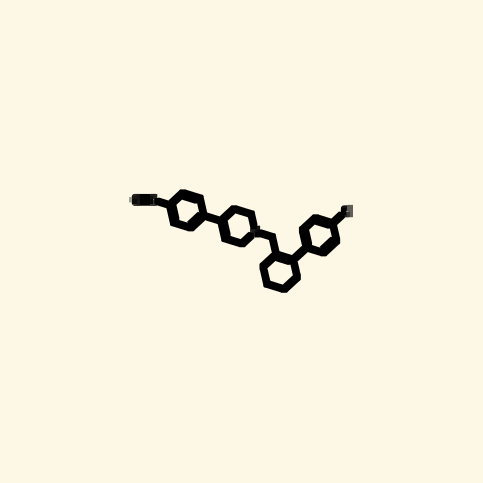 O=[C]c1ccc(C2=CCN(CC3=C(c4ccc(Cl)cc4)CCCC3)CC2)cc1